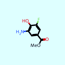 COC(=O)c1cc(N)c(O)c(F)c1